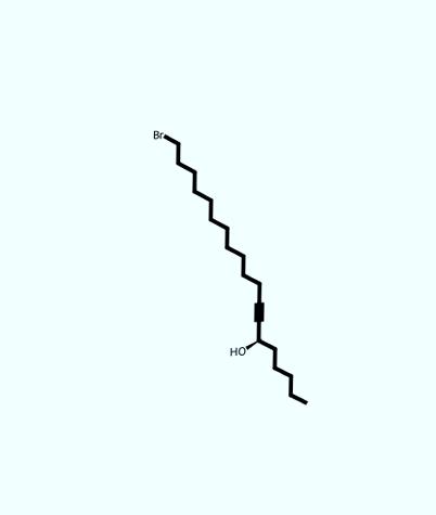 CCCCC[C@@H](O)C#CCCCCCCCCCCCBr